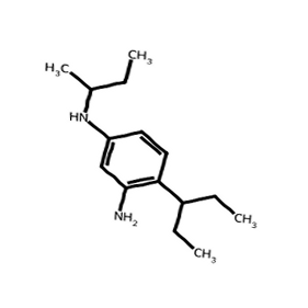 CCC(C)Nc1ccc(C(CC)CC)c(N)c1